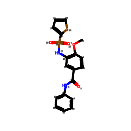 COc1ccc(C(=O)Nc2ccccc2)cc1NS(=O)(=O)c1cccs1